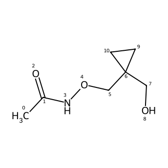 CC(=O)NOCC1(CO)CC1